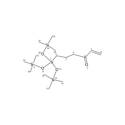 C=CC(=O)CCC[Si](O[Si](C)(C)C)(O[Si](C)(C)C)O[Si](C)(C)C